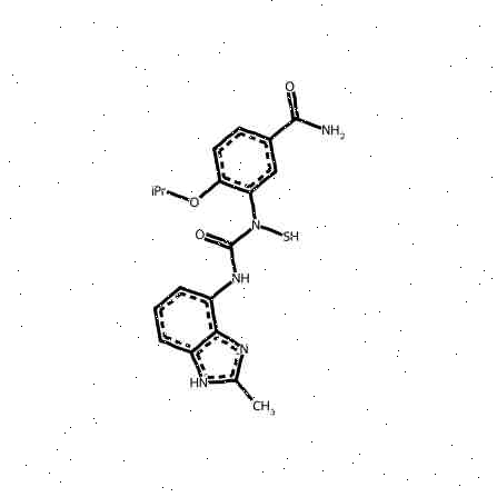 Cc1nc2c(NC(=O)N(S)c3cc(C(N)=O)ccc3OC(C)C)cccc2[nH]1